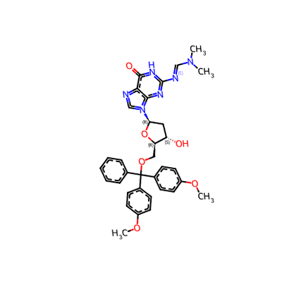 COc1ccc(C(OC[C@H]2O[C@@H](n3cnc4c(=O)[nH]c(/N=C/N(C)C)nc43)C[C@@H]2O)(c2ccccc2)c2ccc(OC)cc2)cc1